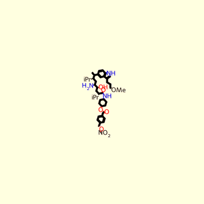 COCCCc1c[nH]c2ccc(C(C)[C@@H](C[C@H](N)[C@@H](O)C[C@H](C(=O)NC3CCC(OC(=O)c4ccc(CO[N+](=O)[O-])cc4)CC3)C(C)C)C(C)C)cc12